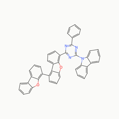 c1ccc(-c2nc(-c3cccc4c3oc3cccc(-c5cccc6c5oc5ccccc56)c34)nc(-n3c4ccccc4c4ccccc43)n2)cc1